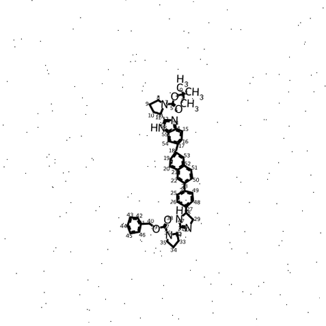 CC(C)(C)OC(=O)N1CCC[C@H]1c1nc2ccc(-c3ccc4cc(-c5ccc(C6CN=C([C@@H]7CCCN7C(=O)OCc7ccccc7)N6)cc5)ccc4c3)cc2[nH]1